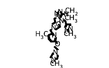 C=Nc1nnn(CC2CN(CC3=NC=C(OCCN4CCN(C)CC4)C=C=C3C)CCO2)c1/N=C(\C)c1cnn(C)c1